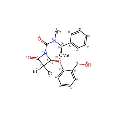 CCCN(C(=O)N1C(=O)C(CC)(CC)[C@@H]1Oc1ccccc1CO)[C@H](OC)c1ccccc1